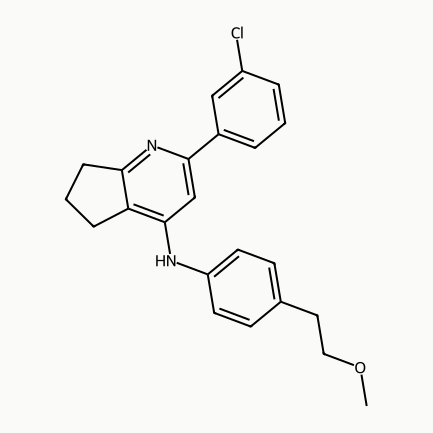 COCCc1ccc(Nc2cc(-c3cccc(Cl)c3)nc3c2CCC3)cc1